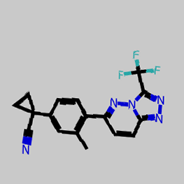 Cc1cc(C2(C#N)CC2)ccc1-c1ccc2nnc(C(F)(F)F)n2n1